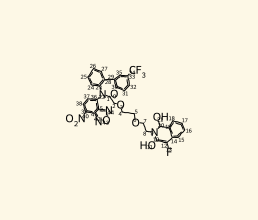 O=C(COCCOCCN1C(O)=C(F)c2ccccc2C1O)N(c1ccccc1-c1cccc(C(F)(F)F)c1)c1ccc([N+](=O)[O-])c2nonc12